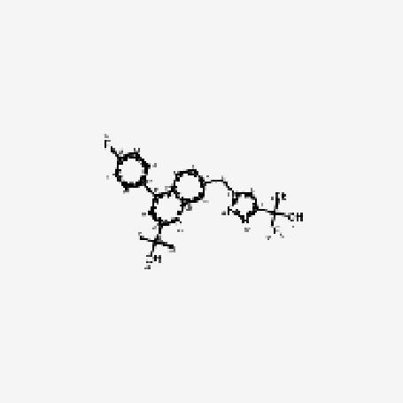 CC[C@](O)(c1cn(Cc2ccc3c(-c4ccc(F)cc4)cc(C(C)(C)O)nc3c2)nn1)C(F)(F)F